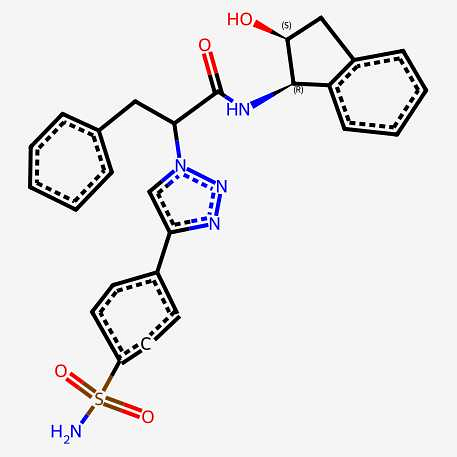 NS(=O)(=O)c1ccc(-c2cn(C(Cc3ccccc3)C(=O)N[C@@H]3c4ccccc4C[C@@H]3O)nn2)cc1